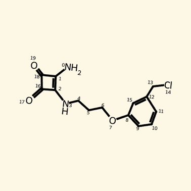 Nc1c(NCCCOc2cccc(CCl)c2)c(=O)c1=O